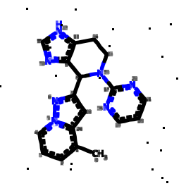 Cc1cccn2nc(C3c4nc[nH]c4CCN3c3ncccn3)cc12